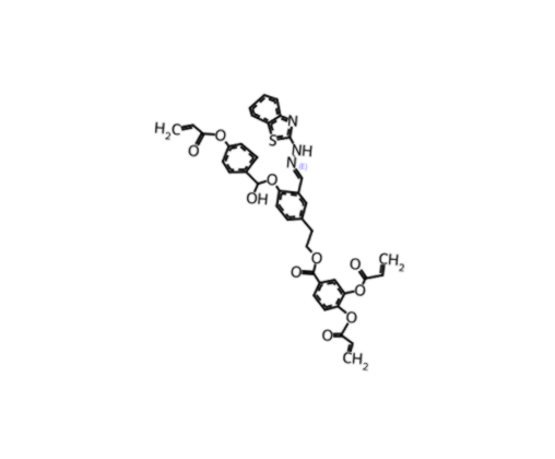 C=CC(=O)Oc1ccc(C(O)Oc2ccc(CCOC(=O)c3ccc(OC(=O)C=C)c(OC(=O)C=C)c3)cc2/C=N/Nc2nc3ccccc3s2)cc1